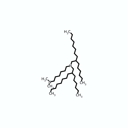 CCCCCCCCC(CCCCCC)CN(CCCCCCN(C)C)CC(CCCCCC)CCCCCCCC